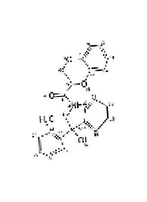 C[C@H](NC(=O)C1COc2ccccc2O1)C(O)(c1ccccc1)c1ccccc1